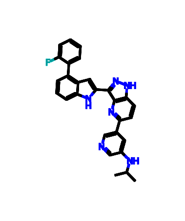 CC(C)Nc1cncc(-c2ccc3[nH]nc(-c4cc5c(-c6ccccc6F)cccc5[nH]4)c3n2)c1